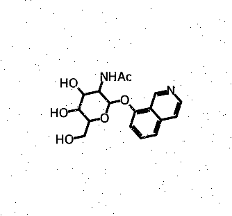 CC(=O)NC1C(Oc2cccc3ccncc23)OC(CO)C(O)C1O